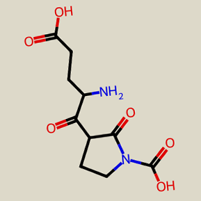 NC(CCC(=O)O)C(=O)C1CCN(C(=O)O)C1=O